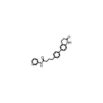 O=C(CCCc1ccc(-c2ccc3c(c2)CCC(=O)N3)cc1)Nc1cccnc1